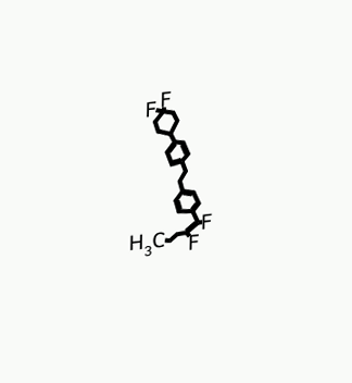 CCC/C(F)=C(/F)c1ccc(CCc2ccc(C3CCC(F)(F)CC3)cc2)cc1